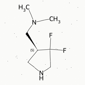 CN(C)C[C@@H]1CNCC1(F)F